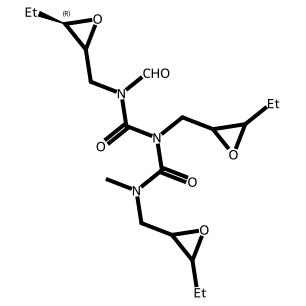 CCC1OC1CN(C)C(=O)N(CC1OC1CC)C(=O)N(C=O)CC1O[C@@H]1CC